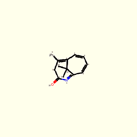 CC(C)C1=C2C=CC=CC(=NC(=O)C1)C2(C)C